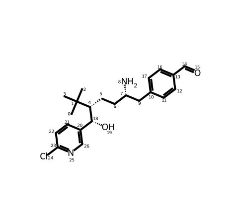 CC(C)(C)[C@H](CC[C@H](N)Cc1ccc(C=O)cc1)[C@H](O)c1ccc(Cl)nc1